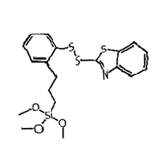 CO[Si](CCCc1ccccc1SSc1nc2ccccc2s1)(OC)OC